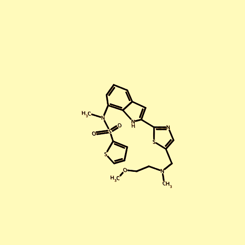 COCCN(C)Cc1cnc(-c2cc3cccc(N(C)S(=O)(=O)c4cccs4)c3[nH]2)s1